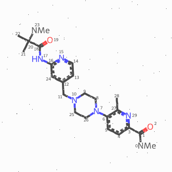 CNC(=O)c1ccc(N2CCN(Cc3ccnc(NC(=O)C(C)(C)NC)c3)CC2)c(C)n1